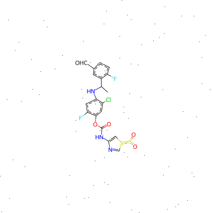 CC(Nc1cc(F)c(OC(=O)NC2=CS(=S(=O)=O)C=N2)cc1Cl)c1cc(C=O)ccc1F